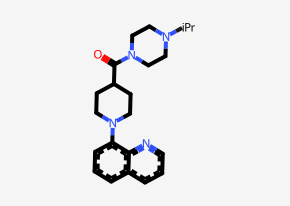 CC(C)N1CCN(C(=O)C2CCN(c3cccc4cccnc34)CC2)CC1